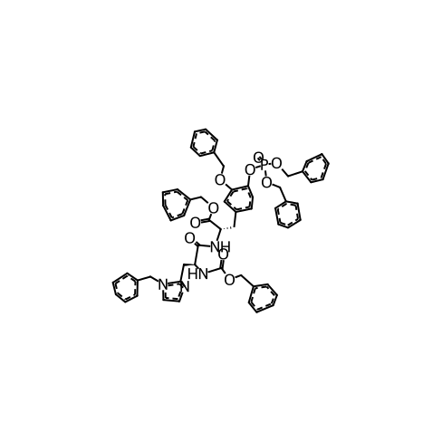 O=C(N[C@@H](Cc1nccn1Cc1ccccc1)C(=O)N[C@@H](Cc1ccc(OP(=O)(OCc2ccccc2)OCc2ccccc2)c(OCc2ccccc2)c1)C(=O)OCc1ccccc1)OCc1ccccc1